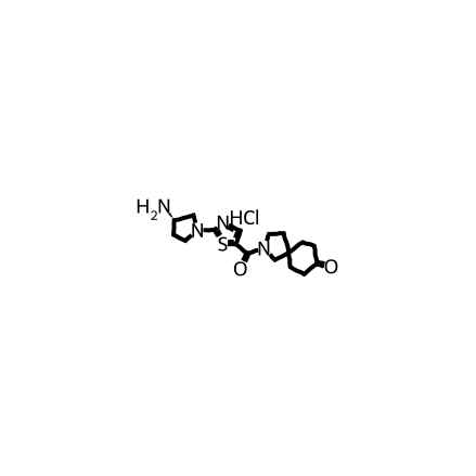 Cl.N[C@H]1CCN(c2ncc(C(=O)N3CCC4(CCC(=O)CC4)C3)s2)C1